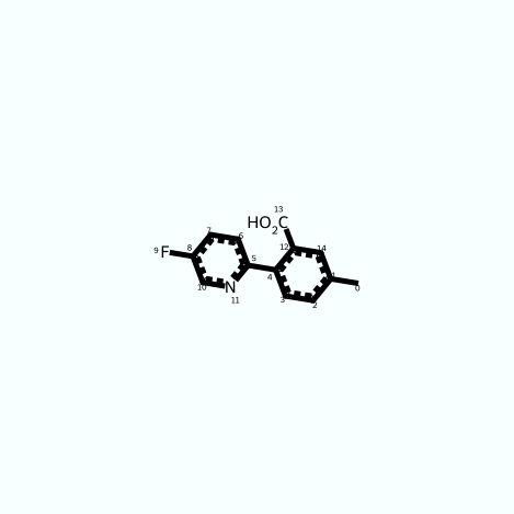 Cc1ccc(-c2ccc(F)cn2)c(C(=O)O)c1